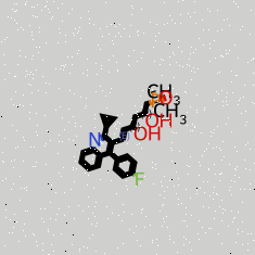 CP(C)(=O)C[C@H](O)C[C@H](O)/C=C/c1c(C2CC2)nc2ccccc2c1-c1ccc(F)cc1